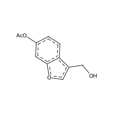 CC(=O)Oc1ccc2c(CO)coc2c1